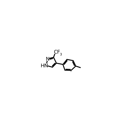 Cc1[c]cc(-c2c[nH]nc2C(F)(F)F)cc1